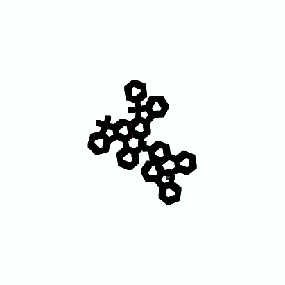 CC1(C)c2ccccc2-c2c(-c3ccccc3N(c3ccc(-c4ccccc4-n4c5ccccc5c5ccccc54)cc3)c3ccc4c(c3)-c3ccccc3C4(C)c3ccccc3)cccc21